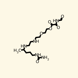 CC(CCCNC(N)=O)NCCNCCOCCOC(=O)C(=O)NC=O